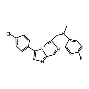 CN(Cc1cn2c(-c3ccc(Cl)cc3)cnc2cn1)c1ccc(F)cc1